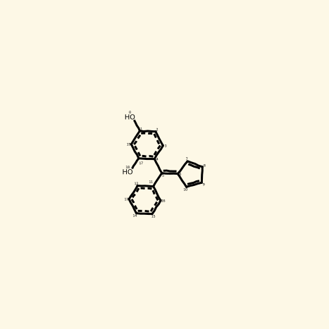 Oc1ccc(C(=C2C=CC=C2)c2ccccc2)c(O)c1